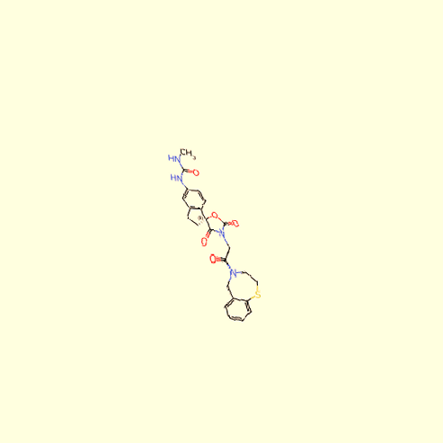 CNC(=O)Nc1ccc2c(c1)CC[C@@]21OC(=O)N(CC(=O)N2CCSc3ccccc3C2)C1=O